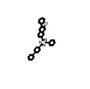 c1ccc(-c2ccc(-c3nc(-c4ccccc4)nc(-c4ccc5cc6c(cc5c4)oc4ccccc46)n3)cc2)cc1